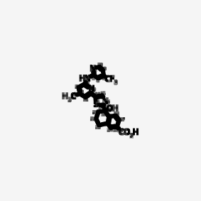 Cc1cc(Nc2cc(C(F)(F)F)ccn2)nc(-c2cnc([C@]3(O)CCCc4cc(C(=O)O)ccc43)s2)c1